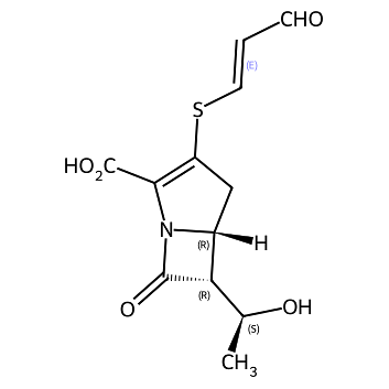 C[C@H](O)[C@@H]1C(=O)N2C(C(=O)O)=C(S/C=C/C=O)C[C@H]12